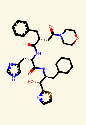 O=C(N[C@@H](Cc1c[nH]cn1)C(=O)N[C@@H](CC1CCCCC1)[C@@H](O)c1nccs1)[C@@H](CC(=O)N1CCOCC1)Cc1ccccc1